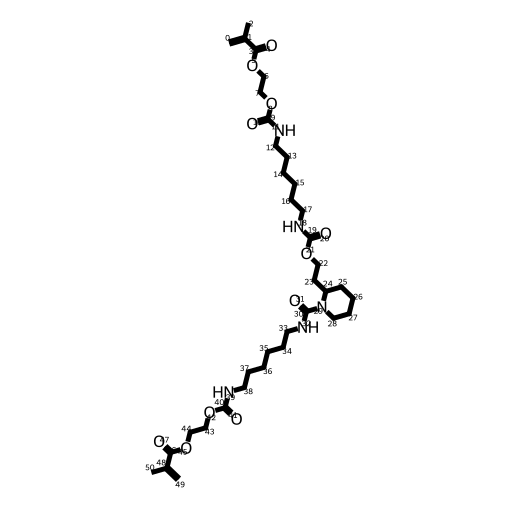 C=C(C)C(=O)OCCOC(=O)NCCCCCCNC(=O)OCCC1CCCCN1C(=O)NCCCCCCNC(=O)OCCOC(=O)C(=C)C